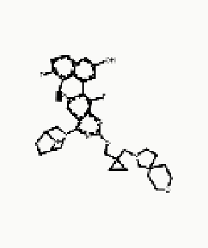 C#Cc1c(F)ccc2cc(O)cc(-c3c(C(C)C)cc4c(N5CC6CCC(C5)N6)nc(OCC5(CN6CCC7(CCOCC7)C6)CC5)nc4c3F)c12